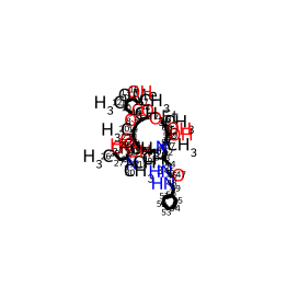 CC[C@H]1OC(=O)[C@H](C)[C@@H](O[C@H]2C[C@@](C)(OC)[C@@H](O)[C@H](C)O2)[C@H](C)[C@@H](O[C@@H]2O[C@H](C)C[C@H](N(C)C)[C@H]2O)[C@](C)(O)C[C@@H](C)CN(CCCNC(=O)NCc2ccccc2)[C@H](C)[C@@H](O)[C@]1(C)O